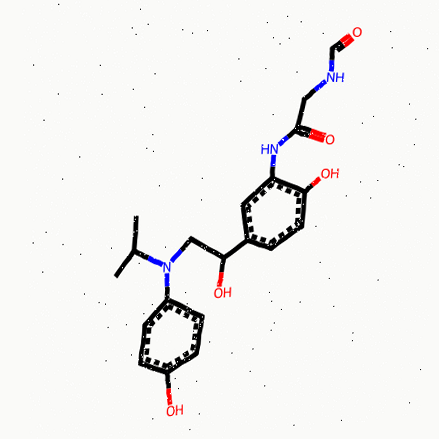 CC(C)N(CC(O)c1ccc(O)c(NC(=O)CNC=O)c1)c1ccc(O)cc1